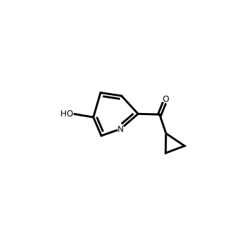 O=C(c1ccc(O)cn1)C1CC1